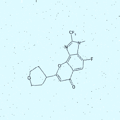 Cn1c(C(F)(F)F)nc2c3oc(C4CCOCC4)cc(=O)c3cc(F)c21